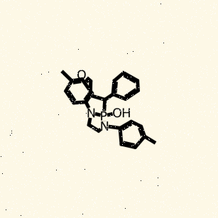 Cc1ccc(N2CCN(c3ccc(C)cc3)[P]2(O)C(CC=O)c2ccccc2)cc1